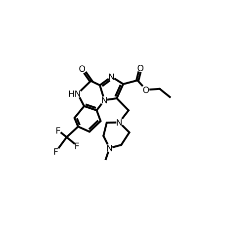 CCOC(=O)c1nc2c(=O)[nH]c3cc(C(F)(F)F)ccc3n2c1CN1CCN(C)CC1